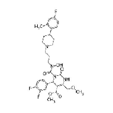 COCC1=C(C(=O)OC)C(c2ccc(F)c(F)c2)N(C(=O)N(O)CCCN2CCC(c3ccc(F)cc3C)CC2)C(=O)N1